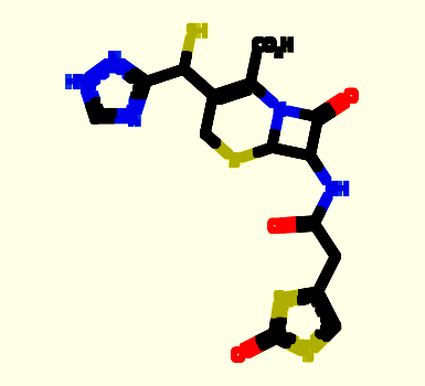 O=C(Cc1csc(=O)s1)NC1C(=O)N2C(C(=O)O)=C(C(S)c3nc[nH]n3)CSC12